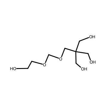 OCCOCOCC(CO)(CO)CO